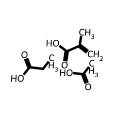 C=C(C)C(=O)O.CC(=O)O.CCC(=O)O